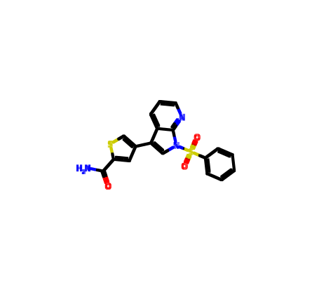 NC(=O)c1cc(-c2cn(S(=O)(=O)c3ccccc3)c3ncccc23)cs1